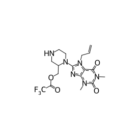 C=CCn1c(N2CCNCC2COC(=O)C(F)(F)F)nc2c1c(=O)n(C)c(=O)n2C